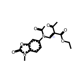 CCOC(=O)/C(=C/N(C(C)=O)c1ccc2c(c1)oc(=O)n2C)C(C)=O